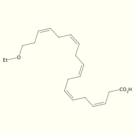 CCOCC/C=C\C/C=C\C/C=C\C/C=C\C/C=C\CC(=O)O